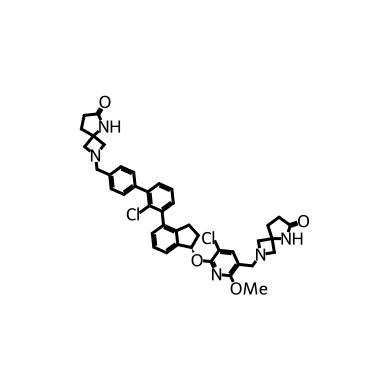 COc1nc(O[C@H]2CCc3c(-c4cccc(-c5ccc(CN6CC7(CCC(=O)N7)C6)cc5)c4Cl)cccc32)c(Cl)cc1CN1CC2(CCC(=O)N2)C1